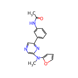 CC(=O)Nc1cccc(-c2cncc(N(C)c3ccco3)n2)c1